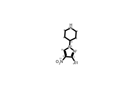 CCc1nn(C2CCNCC2)cc1[N+](=O)[O-]